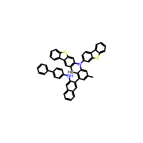 Cc1cc(-c2cc3ccccc3cc2Nc2ccc(-c3ccccc3)cc2)c2c(c1)N(c1ccc3c(c1)sc1ccccc13)c1cc3sc4ccccc4c3cc1B2